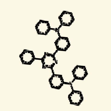 c1ccc(-c2nc(-c3cccc(N(c4ccccc4)c4ccccc4)c3)nc(-c3cccc(N(c4ccccc4)c4ccccc4)c3)n2)cc1